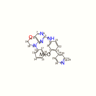 COc1cc(Nc2ncc3c(n2)N(c2ccccc2)CCO3)ccc1-c1ccnc(C)c1